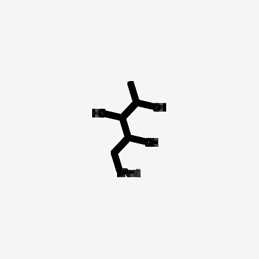 CCCCCCC(O)C(O)C(C)O